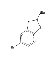 CC(C)(C)N1Cc2cc(Br)ccc2S1